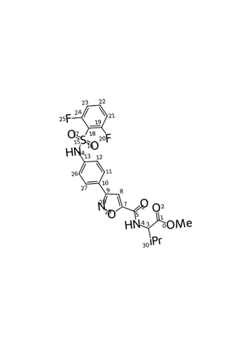 COC(=O)C(NC(=O)c1cc(-c2ccc(NS(=O)(=O)c3c(F)cccc3F)cc2)no1)C(C)C